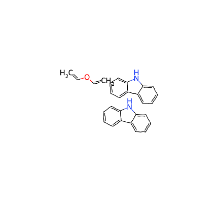 C=COC=C.c1ccc2c(c1)[nH]c1ccccc12.c1ccc2c(c1)[nH]c1ccccc12